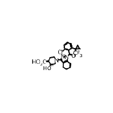 O=C(O)C1CCN(c2nn(C(=O)c3c(Cl)cccc3C3(C(F)(F)F)CC3)c3c2CCCC3)C[C@H]1O